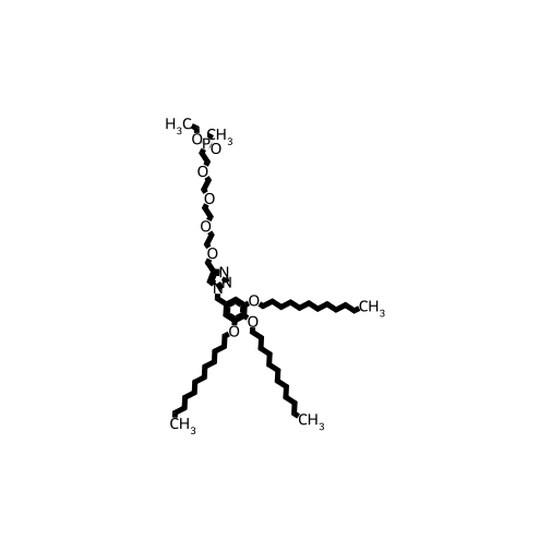 CCCCCCCCCCCCOc1cc(Cn2cc(COCCOCCOCCOCCP(C)(=O)OCC)nn2)cc(OCCCCCCCCCCCC)c1OCCCCCCCCCCCC